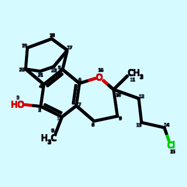 Cc1c(O)c2c(c3c1CCC(C)(CCCCl)O3)C1CCC2CC1